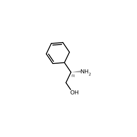 N[C@H](CO)C1C=CC=CC1